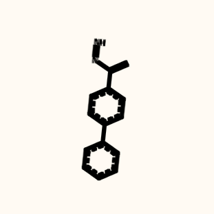 C=C(N=N)c1ccc(-c2ccccc2)cc1